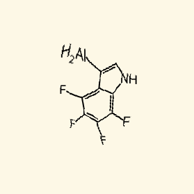 Fc1c(F)c(F)c2[c]([AlH2])c[nH]c2c1F